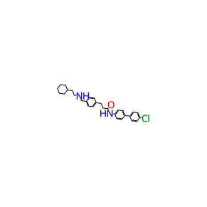 O=C(CCc1ccc(CNCCC2CCCCC2)cc1)Nc1ccc(-c2ccc(Cl)cc2)cc1